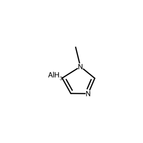 Cn1ccnc1.[AlH3]